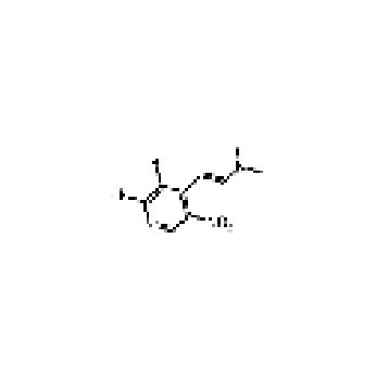 CN(C)C=Cc1c([N+](=O)[O-])cnc(Cl)c1Br